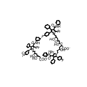 CC(C)c1c(C(=O)Nc2ccccc2)c(-c2ccccc2)c(-c2ccc(F)cc2)n1CC[C@@H](O)C[C@@H](O)CC(=O)O[C@@H](CC(=O)[O-])C[C@H](O)CCn1c(-c2ccc(F)cc2)c(-c2ccccc2)c(C(=O)Nc2ccccc2)c1C(C)C.CC(C)c1c(C(=O)Nc2ccccc2)c(-c2ccccc2)c(-c2ccc(F)cc2)n1CC[C@@H](O)C[C@@H](O)CC(=O)[O-].[Ca+2]